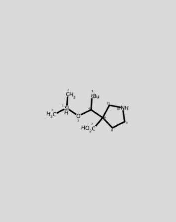 C[SiH](C)OC(C(C)(C)C)C1(C(=O)O)CCNC1